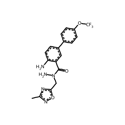 Cc1noc(CN(N)C(=O)c2cc(-c3ccc(OC(F)(F)F)cc3)ccc2N)n1